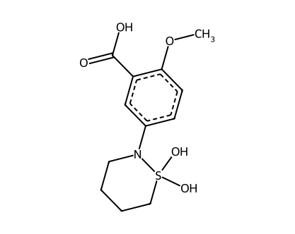 COc1ccc(N2CCCCS2(O)O)cc1C(=O)O